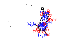 C[C@H](N)C(=O)N[C@@H](CCCCN)C(=O)N[C@@H](CO)C(=O)N[C@@H](CCC(N)=O)C(=O)NCC(=O)NCC(=O)N[C@@H](CO)C(=O)N[C@@H](CC(N)=O)C(=O)N[C@@H](Cc1ccccc1)C(=O)NCCc1ccccc1